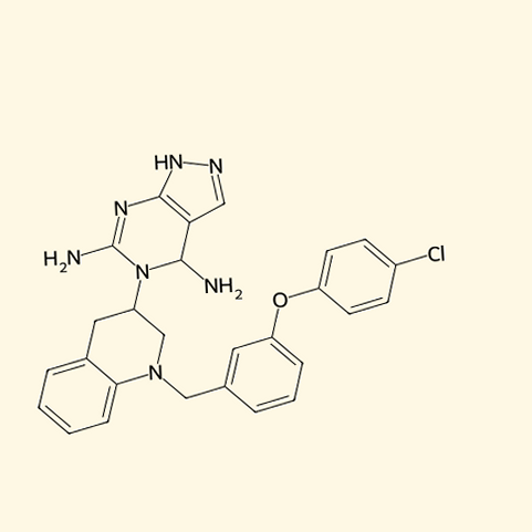 NC1=Nc2[nH]ncc2C(N)N1C1Cc2ccccc2N(Cc2cccc(Oc3ccc(Cl)cc3)c2)C1